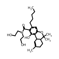 CCCCCc1cc2c(c(O)c1C(=O)N(CCO)CCO)C1C=C(C)CCC1C(C)(C)O2